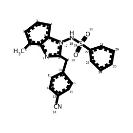 Cc1cccc2c1nc(Cc1ccc(C#N)cc1)n2NS(=O)(=O)c1ccccc1